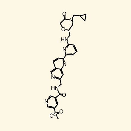 CS(=O)(=O)c1cncc(C(=O)NCc2cc3nc(-c4cccc(NC[C@@H]5CN(CC6CC6)C(=O)CO5)n4)ccc3cn2)c1